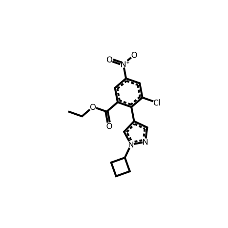 CCOC(=O)c1cc([N+](=O)[O-])cc(Cl)c1-c1cnn(C2CCC2)c1